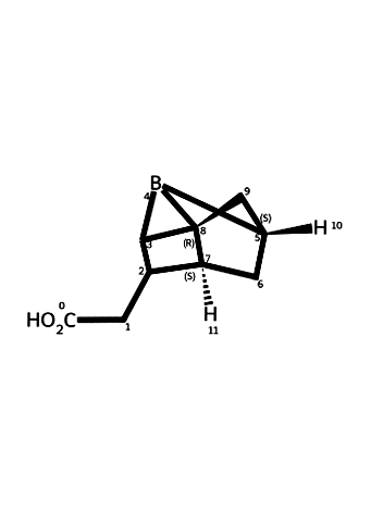 O=C(O)CC1C2B3[C@H]4C[C@@H]1[C@@]32C4